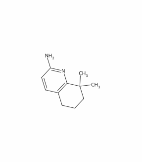 CC1(C)CCCc2ccc(N)nc21